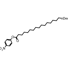 CCCCCCCCCCCCCCCCCCCCCCCCCC(=O)Oc1ccc([N+](=O)[O-])cc1